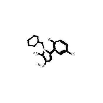 Cc1c(C(=O)O)cc(-c2cc(C(F)(F)F)ccc2F)n1CC1CCCCC1